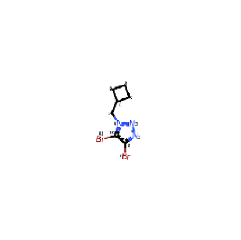 Brc1nnn(CC2CCC2)c1Br